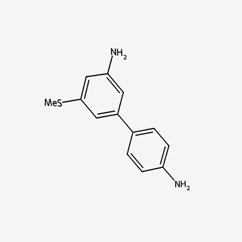 CSc1cc(N)cc(-c2ccc(N)cc2)c1